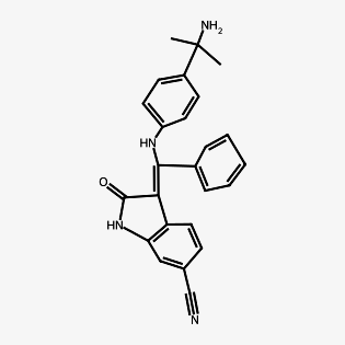 CC(C)(N)c1ccc(N/C(=C2\C(=O)Nc3cc(C#N)ccc32)c2ccccc2)cc1